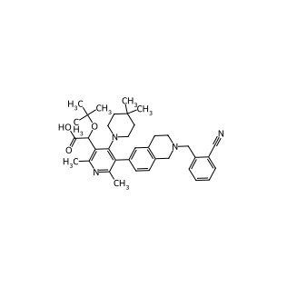 Cc1nc(C)c(C(OC(C)(C)C)C(=O)O)c(N2CCC(C)(C)CC2)c1-c1ccc2c(c1)CCN(Cc1ccccc1C#N)C2